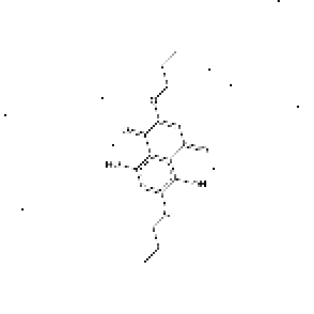 CCCOC1=CC(=O)c2c(O)c(OCCC)cc(O)c2C1=O